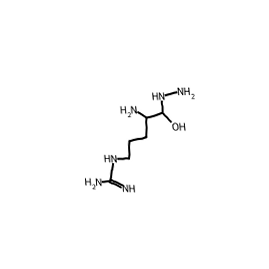 N=C(N)NCCCC(N)C(O)NN